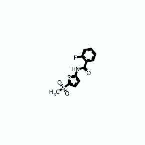 CS(=O)(=O)c1ccc(NC(=O)c2ccccc2F)s1